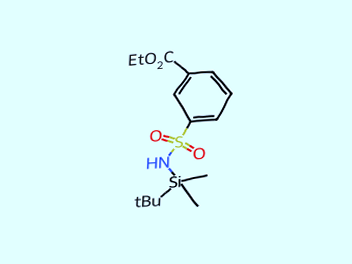 CCOC(=O)c1cccc(S(=O)(=O)N[Si](C)(C)C(C)(C)C)c1